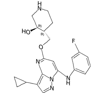 O[C@H]1CNCC[C@@H]1COc1cc(Nc2cccc(F)c2)n2ncc(C3CC3)c2n1